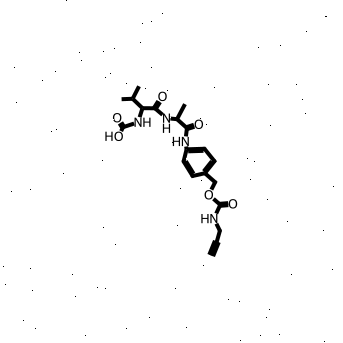 C#CCNC(=O)OCc1ccc(NC(=O)C(C)NC(=O)C(NC(=O)O)C(C)C)cc1